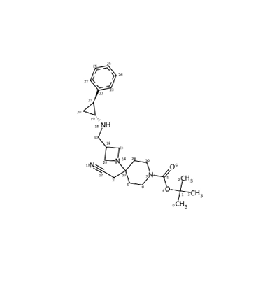 CC(C)(C)OC(=O)N1CCC(CC#N)(N2CC(CN[C@@H]3C[C@H]3c3ccccc3)C2)CC1